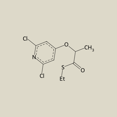 CCSC(=O)C(C)Oc1cc(Cl)nc(Cl)c1